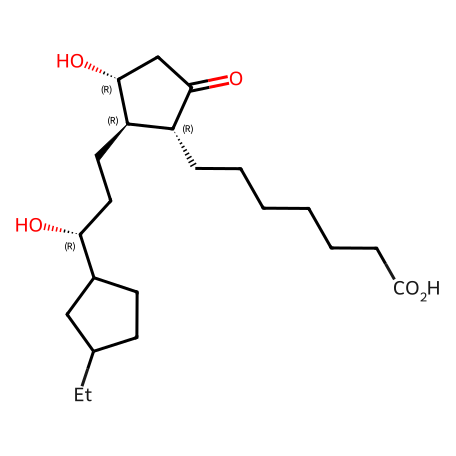 CCC1CCC([C@H](O)CC[C@H]2[C@H](O)CC(=O)[C@@H]2CCCCCCC(=O)O)C1